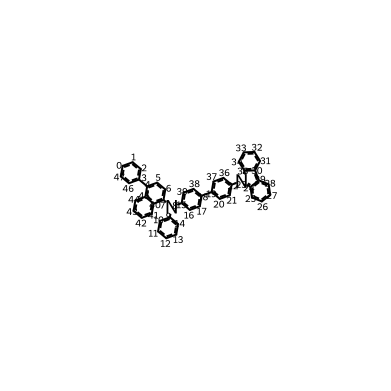 c1ccc(-c2ccc(N(c3ccccc3)c3ccc(-c4ccc(-n5c6ccccc6c6ccccc65)cc4)cc3)c3ccccc23)cc1